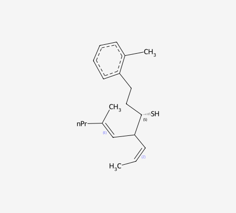 C/C=C\C(/C=C(\C)CCC)[C@@H](S)CCc1ccccc1C